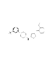 CCC1COCCC1N[C@@H]1CC[C@H](C(=O)N2CCN(c3cncc(C(F)(F)F)c3)CC2)C1